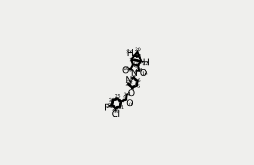 O=C(COc1ccc(N2C(=O)C3C(C2=O)[C@@H]2C=CC3[C@H]3CC23)nc1)c1ccc(F)c(Cl)c1